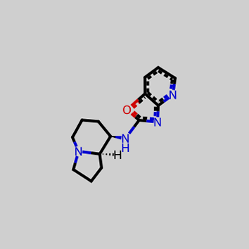 c1cnc2nc(N[C@@H]3CCCN4CCC[C@H]34)oc2c1